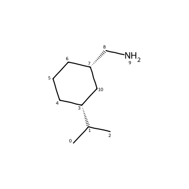 CC(C)[C@@H]1CCC[C@H](CN)C1